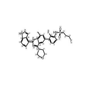 Cc1cc(-c2cccc(NS(=O)(=O)CCCF)c2F)cc2c(N3CCOCC3)nc(-c3cccc4[nH]ncc34)nc12